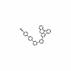 N#Cc1ccc(-c2ccc(-c3cccc(-c4cccc(-c5cc6c7c(c5)c5ccccc5n7-c5ccccc5S6)c4)c3)cc2)cc1